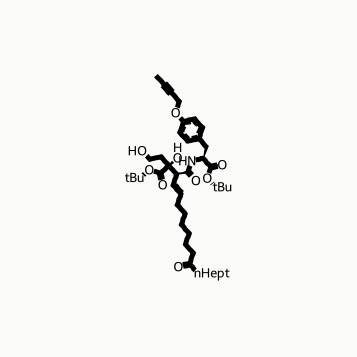 CC#CCOc1ccc(C[C@H](NC(=O)[C@@H](/C=C/CCCCCCC(=O)CCCCCCC)[C@@](O)(CCO)C(=O)OC(C)(C)C)C(=O)OC(C)(C)C)cc1